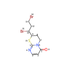 O=c1ccnc2n1CCC(C(Br)CCBr)S2